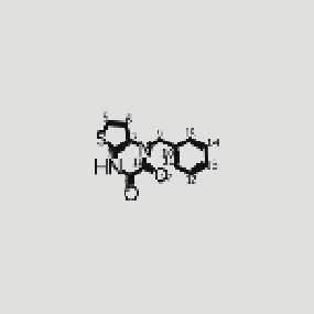 O=c1[nH]c2sccc2n(Cc2ccccc2)c1=O